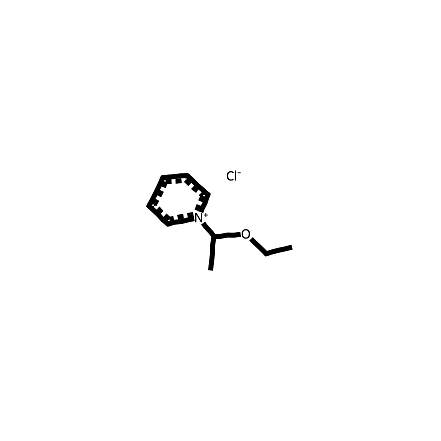 CCOC(C)[n+]1ccccc1.[Cl-]